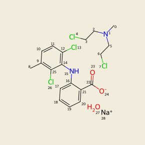 CN(CCCl)CCCl.Cc1ccc(Cl)c(Nc2ccccc2C(=O)[O-])c1Cl.O.[Na+]